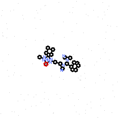 c1ccc(-c2nc(-c3ccccc3)nc(-c3c(-c4nc(-c5ccccc5)nc(-c5ccc(-c6ccc7c(c6)c6cnccc6n7-c6cc(-c7cc8ccc9cccc%10c%11cccc%12ccc%13cccc(c(c7)c8c9%10)c%13c%12%11)cc(-n7c8ccccc8c8cnccc87)c6)cc5)n4)c4cccc5c6ccccc6c6ccccc6c6cccc3c6c45)n2)cc1